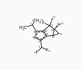 CC(C)n1nc(C(F)F)c2c1C(F)(F)[C@@H]1CC21